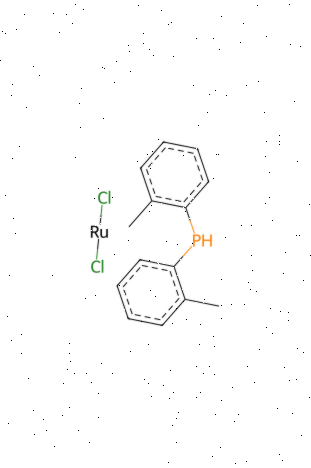 Cc1ccccc1Pc1ccccc1C.[Cl][Ru][Cl]